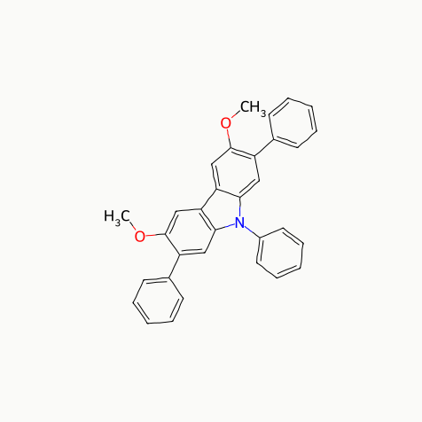 COc1cc2c3cc(OC)c(-c4ccccc4)cc3n(-c3ccccc3)c2cc1-c1ccccc1